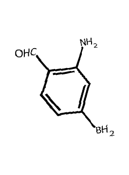 Bc1ccc(C=O)c(N)c1